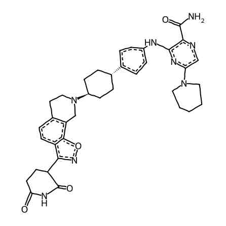 NC(=O)c1ncc(N2CCCCC2)nc1Nc1ccc([C@H]2CC[C@H](N3CCc4ccc5c(C6CCC(=O)NC6=O)noc5c4C3)CC2)cc1